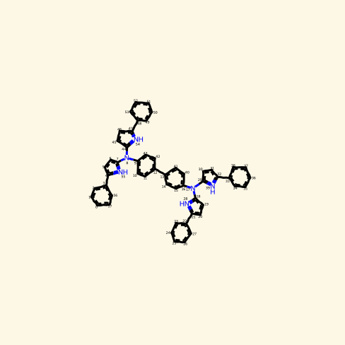 c1ccc(-c2ccc(N(c3ccc(-c4ccc(N(c5ccc(-c6ccccc6)[nH]5)c5ccc(-c6ccccc6)[nH]5)cc4)cc3)c3ccc(-c4ccccc4)[nH]3)[nH]2)cc1